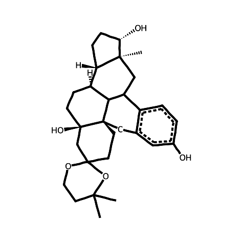 CC1(C)CCOC2(CC[C@@]34Cc5cc(O)ccc5C5C[C@]6(C)[C@@H](O)CC[C@H]6[C@H](CC[C@@]3(O)C2)C54)O1